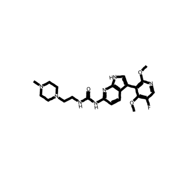 COc1ncc(F)c(OC)c1-c1c[nH]c2nc(NC(=O)NCCN3CCN(C)CC3)ccc12